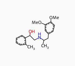 COc1ccc(CC(C)NC[C@H](O)c2ccccc2C)cc1OC